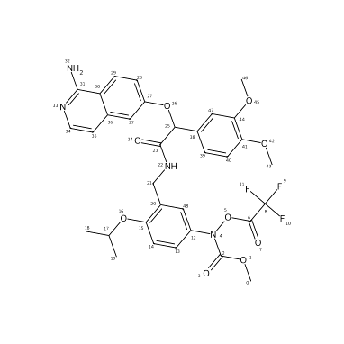 COC(=O)N(OC(=O)C(F)(F)F)c1ccc(OC(C)C)c(CNC(=O)C(Oc2ccc3c(N)nccc3c2)c2ccc(OC)c(OC)c2)c1